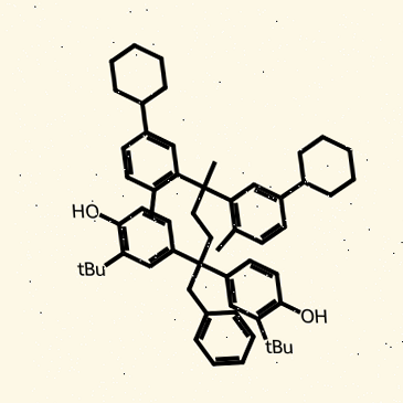 Cc1ccc(C2CCCCC2)cc1C(C)(CCC(Cc1ccccc1)(c1ccc(O)c(C(C)(C)C)c1)c1ccc(O)c(C(C)(C)C)c1)c1cc(C2CCCCC2)ccc1C